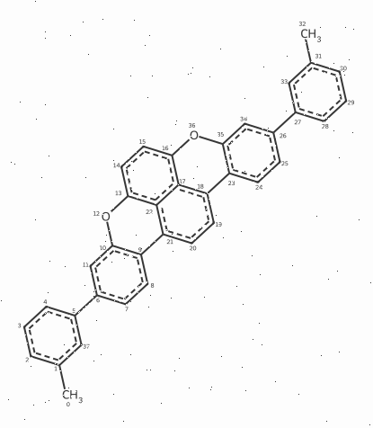 Cc1cccc(-c2ccc3c(c2)Oc2ccc4c5c(ccc-3c25)-c2ccc(-c3cccc(C)c3)cc2O4)c1